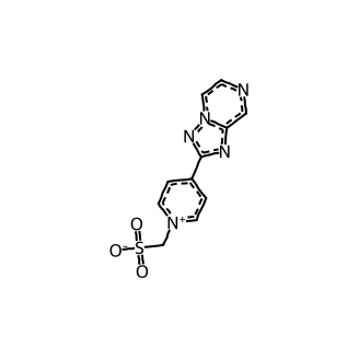 O=S(=O)([O-])C[n+]1ccc(-c2nc3cnccn3n2)cc1